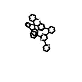 c1ccc(-c2nc(-c3ccccn3)cc(-c3ccccc3-c3ccc4c(c3)Sc3ccccc3C43c4ccccc4-c4ccccc43)n2)cc1